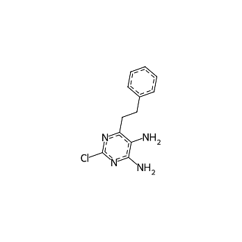 Nc1nc(Cl)nc(CCc2ccccc2)c1N